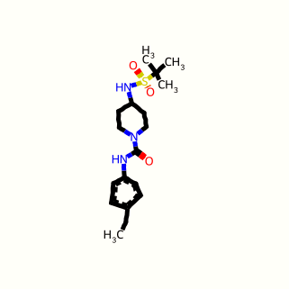 CCc1ccc(NC(=O)N2CCC(NS(=O)(=O)C(C)(C)C)CC2)cc1